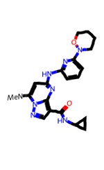 CNc1cc(Nc2cccc(N3CCCCO3)n2)nc2c(C(=O)NC3CC3)cnn12